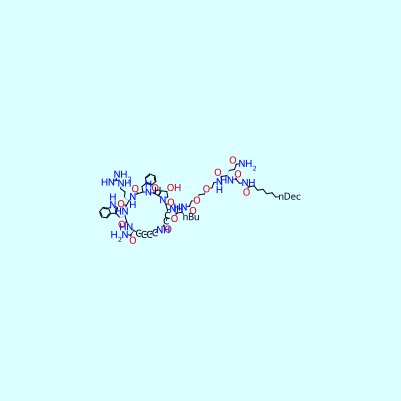 CCCCCCCCCCCCCCCCC(=O)NCC(=O)N[C@@H](CCC(N)=O)C(=O)NCCOCCOCC(=O)N[C@@H](CCCC)C(=O)N[C@H]1CCC(=O)NCCCC[C@@H](C(N)=O)NC(=O)[C@H](Cc2c[nH]c3ccccc23)NC(=O)[C@H](CCCNC(=N)N)NC(=O)C(Cc2ccccc2)NC(=O)[C@@H]2C[C@@H](O)CN2C1=O